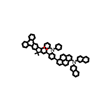 CC1(C)c2cc(-c3ccc(-c4ccc5ccc6c(N(c7ccc8ccccc8c7)c7ccc8ccccc8c7)ccc7ccc4c5c76)cc3N(c3ccccc3)c3ccccc3)ccc2-c2cc3c4ccccc4c4ccccc4c3cc21